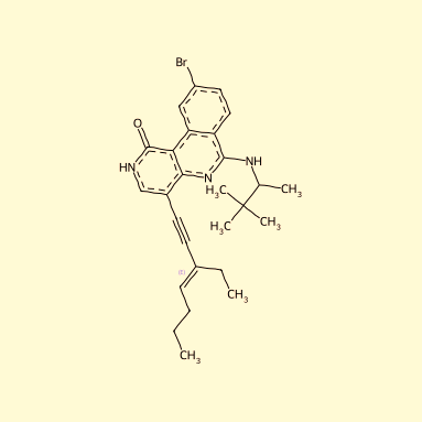 CCC/C=C(/C#Cc1c[nH]c(=O)c2c1nc(NC(C)C(C)(C)C)c1ccc(Br)cc12)CC